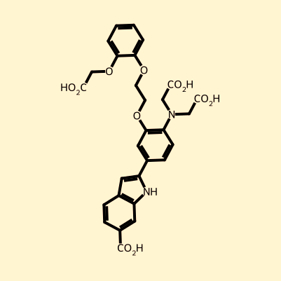 O=C(O)COc1ccccc1OCCOc1cc(-c2cc3ccc(C(=O)O)cc3[nH]2)ccc1N(CC(=O)O)CC(=O)O